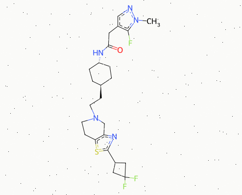 Cn1ncc(CC(=O)N[C@H]2CC[C@H](CCN3CCc4sc(C5CC(F)(F)C5)nc4C3)CC2)c1F